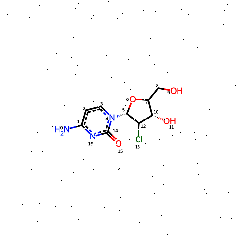 Nc1ccn([C@@H]2OC(CO)[C@H](O)C2Cl)c(=O)n1